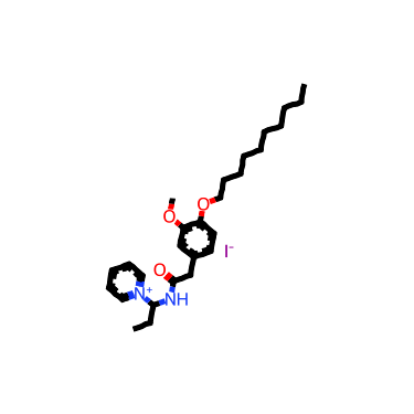 CCCCCCCCCCOc1ccc(CC(=O)NC(CC)[n+]2ccccc2)cc1OC.[I-]